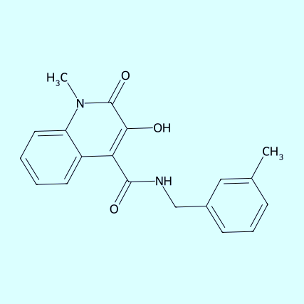 Cc1cccc(CNC(=O)c2c(O)c(=O)n(C)c3ccccc23)c1